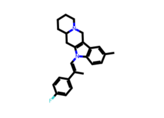 C/C(=C\n1c2c(c3cc(C)ccc31)CN1CCCCC1C2)c1ccc(F)cc1